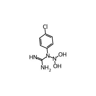 N=C(N)N(c1ccc(Cl)cc1)N(O)O